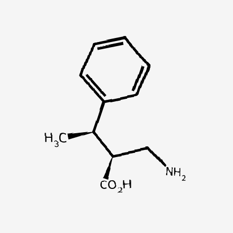 C[C@@H](c1ccccc1)[C@@H](CN)C(=O)O